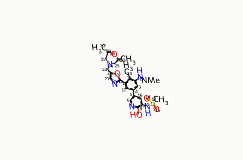 CNNc1cc(-c2cnc(O)c(NS(C)(=O)=O)c2)cc(-c2ncc(CN3C[C@@H](C)O[C@@H](C)C3)o2)c1C